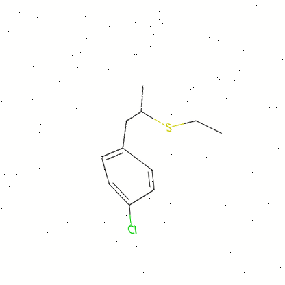 CCSC(C)Cc1ccc(Cl)cc1